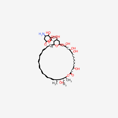 CC1OC(O[C@H]2/C=C/C=C/C=C/C=C/C=C/C=C/C=C/[C@H](C)[C@@H](O)[C@@H](C)[C@H](C)OC(=O)C[C@H](O)CCCC[C@@H](O)[C@H](O)C[C@H](O)C[C@]3(O)C[C@H](O)[C@@H](C(=O)O)[C@H](C2)O3)CC(N)C1O